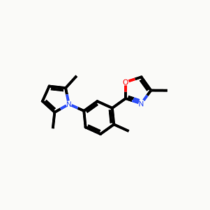 Cc1coc(-c2cc(-n3c(C)ccc3C)ccc2C)n1